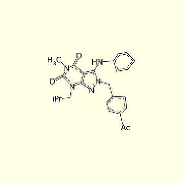 CC(=O)c1ccc(Cn2nc3c(c2Nc2ccccc2)c(=O)n(C)c(=O)n3CC(C)C)cc1